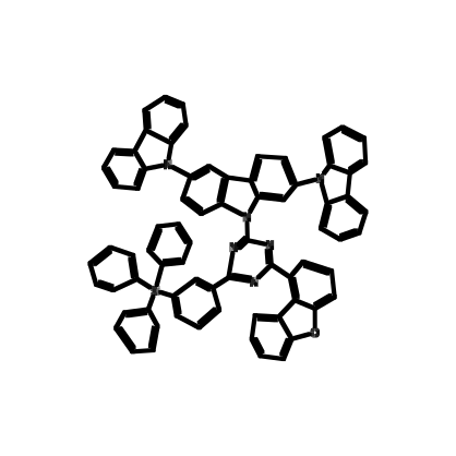 c1ccc([Si](c2ccccc2)(c2ccccc2)c2cccc(-c3nc(-c4cccc5oc6ccccc6c45)nc(-n4c5ccc(-n6c7ccccc7c7ccccc76)cc5c5ccc(-n6c7ccccc7c7ccccc76)cc54)n3)c2)cc1